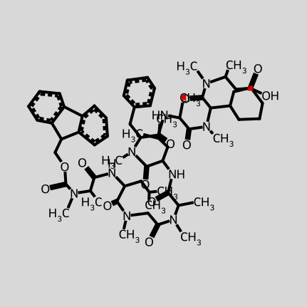 CC(C)CC(NC(=O)C(C)N(C)C(=O)OCC1c2ccccc2-c2ccccc21)C(=O)N(C)CC(=O)N(C)C(C)C(=O)NC(CC(C)C)C(=O)N(C)C(Cc1ccccc1)C(=O)NC(C)C(=O)N(C)C(C(=O)N(C)C(C)CC(=O)O)C1CCCCC1